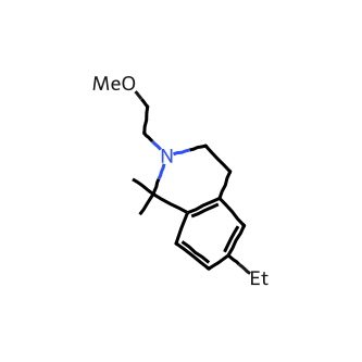 CCc1ccc2c(c1)CCN(CCOC)C2(C)C